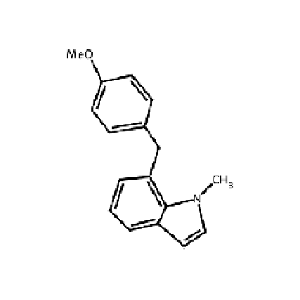 COc1ccc(Cc2cccc3[c]cn(C)c23)cc1